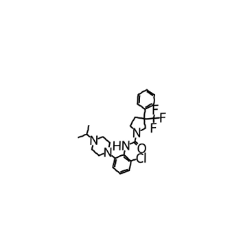 CC(C)N1CCN(c2cccc(Cl)c2NC(=O)N2CCC(c3ccccc3)(C(F)(F)F)C2)CC1